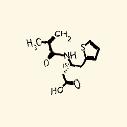 C=C(C)C(=O)N[C@@H](CC(=O)O)Cc1cccs1